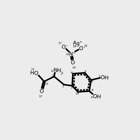 NC(Cc1ccc(O)c(O)c1)C(=O)O.O=[N+]([O-])[O-].[Ag+]